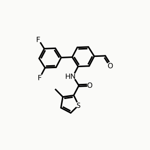 Cc1ccsc1C(=O)Nc1cc(C=O)ccc1-c1cc(F)cc(F)c1